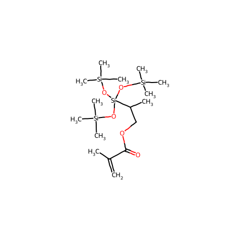 C=C(C)C(=O)OCC(C)[Si](O[Si](C)(C)C)(O[Si](C)(C)C)O[Si](C)(C)C